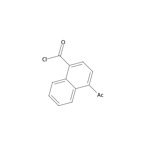 CC(=O)c1ccc(C(=O)Cl)c2ccccc12